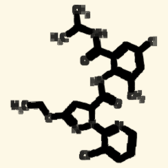 CCOC1=NN(c2ncccc2Cl)C(C(=O)Nc2c(C)cc(Cl)cc2C(=O)NC(C)C)C1